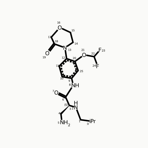 CC(C)CN[C@@H](CN)C(=O)Nc1ccc(N2CCOCC2=O)c(OC(F)F)c1